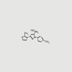 Cc1ccc(-n2nc(-c3ccoc3C)cc2N)cc1.Cl